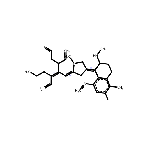 C=C/C(CCC)=C(\C=C1\C/C(=C2\c3c(N=C)cc(F)c(C)c3CCC2NC)CN1C)C(C=C)CC=O